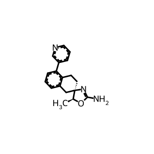 C[C@@H]1OC(N)=N[C@@]12CCc1c(cccc1-c1cccnc1)C2